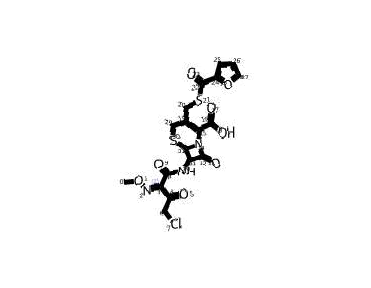 CO/N=C(/C(=O)CCl)C(=O)NC1C(=O)N2C(C(=O)O)=C(CSC(=O)c3ccco3)CSC12